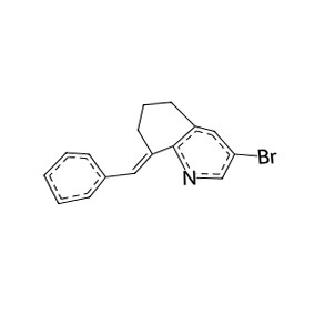 Brc1cnc2c(c1)CCCC2=Cc1ccccc1